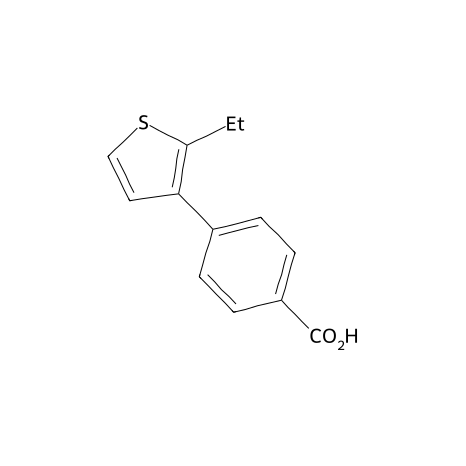 CCc1sccc1-c1ccc(C(=O)O)cc1